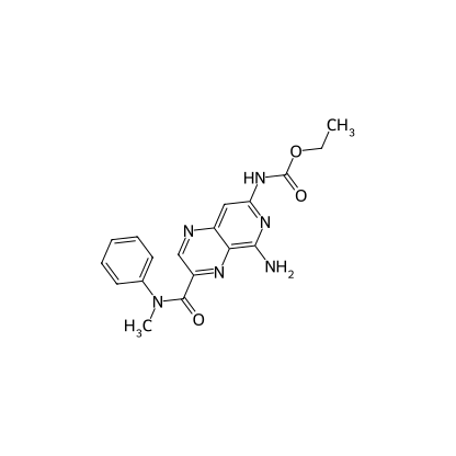 CCOC(=O)Nc1cc2ncc(C(=O)N(C)c3ccccc3)nc2c(N)n1